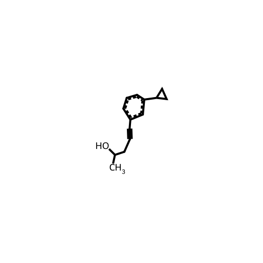 CC(O)CC#Cc1cccc(C2CC2)c1